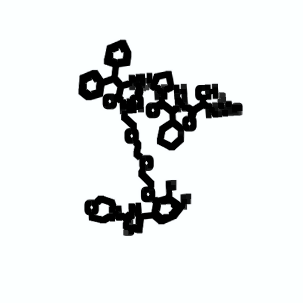 CNC(C)C(=O)NC(C(=O)N1CCC[C@H]1C(=O)NC(C(=O)NCCOCCOCCOc1c(-c2csc(N3CCOCC3)n2)ccc(F)c1F)C(c1ccccc1)c1ccccc1)C1CCCCC1